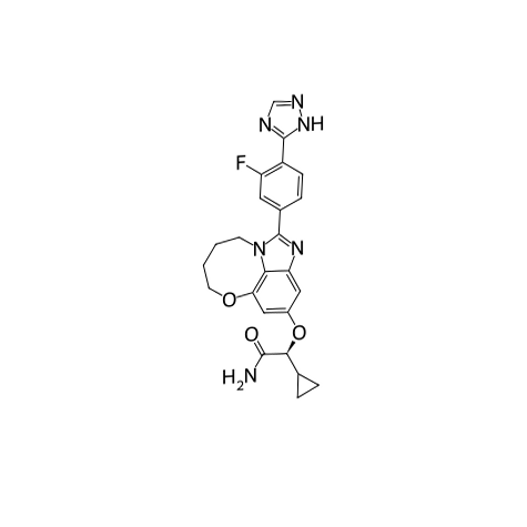 NC(=O)[C@@H](Oc1cc2c3c(c1)nc(-c1ccc(-c4ncn[nH]4)c(F)c1)n3CCCCO2)C1CC1